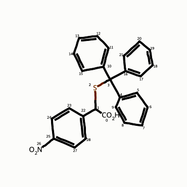 O=C(O)C(SC(c1ccccc1)(c1ccccc1)c1ccccc1)c1ccc([N+](=O)[O-])cc1